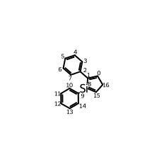 C1=C(c2ccccc2)[Si](c2ccccc2)=CC1